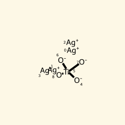 [Ag+].[Ag+].[Ag+].[Ag+].[O-][Ti]([O-])([O-])[O-]